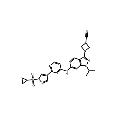 CC(C)n1nc(N2CC(C#N)C2)c2cnc(Nc3ccnc(-c4cnn(S(=O)(=O)C5CC5)c4)n3)cc21